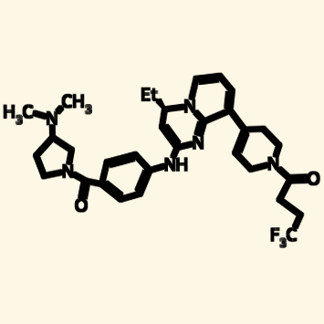 CC[C@@H]1C=C(Nc2ccc(C(=O)N3CCC(N(C)C)C3)cc2)N=C2C(C3=CCN(C(=O)CCC(F)(F)F)CC3)=CC=CN21